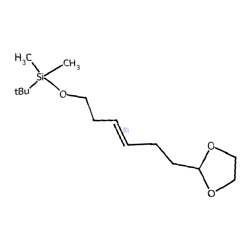 CC(C)(C)[Si](C)(C)OCC/C=C/CCC1OCCO1